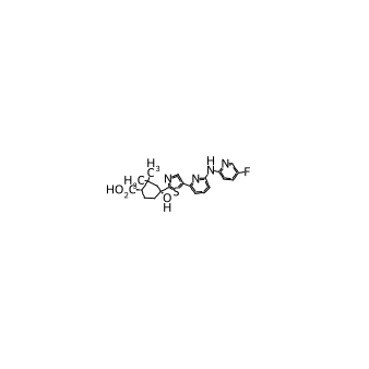 CC1(C)C[C@](O)(c2ncc(-c3cccc(Nc4ccc(F)cn4)n3)s2)CC[C@H]1C(=O)O